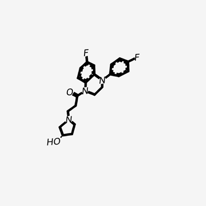 O=C(CCN1CC[C@H](O)C1)N1CCN(c2ccc(F)cc2)c2cc(F)ccc21